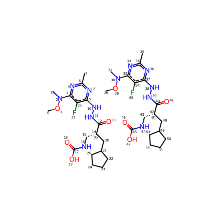 CON(C)c1nc(C)nc(NNC(=O)[C@@H](CNC(=O)O)CC2CCCC2)c1F.CON(C)c1nc(C)nc(NNC(=O)[C@@H](CNC(=O)O)CC2CCCC2)c1F